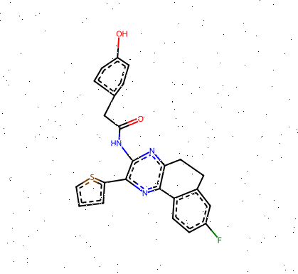 O=C(Cc1ccc(O)cc1)Nc1nc2c(nc1-c1cccs1)-c1ccc(F)cc1CC2